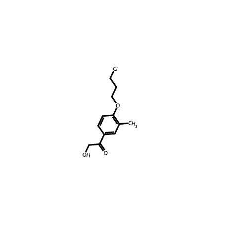 Cc1cc(C(=O)CO)ccc1OCCCCl